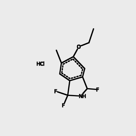 CCOc1cc2c(cc1C)C(F)(F)NC2F.Cl